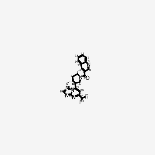 C[C@@H]1CCN(C(=O)c2cnc3ccccc3c2)CC1c1cc(C(F)F)nc2ncnn12